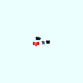 O.[Nb].[Ti].[W]